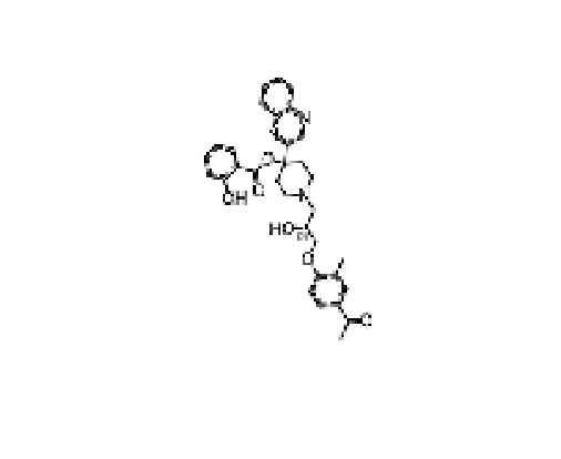 CC(=O)c1ccc(OC[C@@H](O)CN2CCC(OC(=O)c3ccccc3O)(c3cnc4ccccc4n3)CC2)c(C)c1